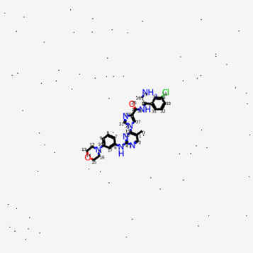 Cc1cnc(Nc2cccc(N3CCOCC3)c2)nc1-n1cnc(C(=O)N[C@H](CN)c2cccc(Cl)c2)c1